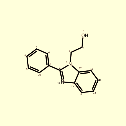 OCCn1c(-c2ccccc2)nc2ccccc21